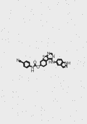 N#Cc1ccc(NC(=O)OC2CCc3c(sc4ncnc(Nc5ccc6[nH]ncc6c5)c34)C2)cc1